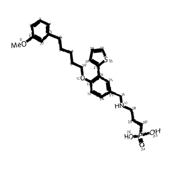 COc1cccc(CCCCCOc2ccc(CNCCCP(=O)(O)O)cc2-c2cccs2)c1